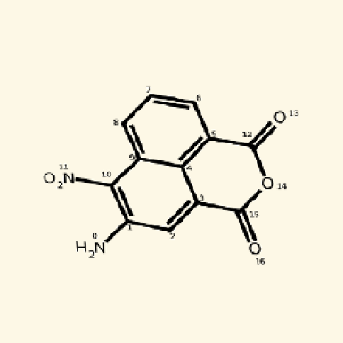 Nc1cc2c3c(cccc3c1[N+](=O)[O-])C(=O)OC2=O